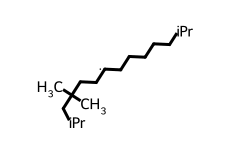 CC(C)CCCCC[CH]CCC(C)(C)CC(C)C